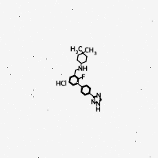 CC1(C)CCC(NCc2cccc(-c3ccc(-c4nc[nH]n4)cc3)c2F)CC1.Cl